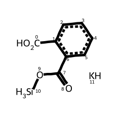 O=C(O)c1ccccc1C(=O)O[SiH3].[KH]